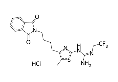 Cc1sc(N/C(N)=N\CC(F)(F)F)nc1CCCCN1C(=O)c2ccccc2C1=O.Cl